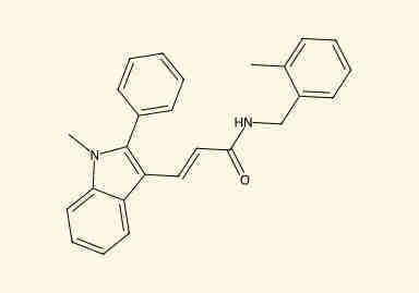 Cc1ccccc1CNC(=O)/C=C/c1c(-c2ccccc2)n(C)c2ccccc12